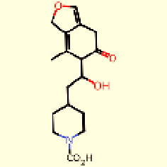 CC1=C2COC=C2CC(=O)C1C(O)CC1CCN(C(=O)O)CC1